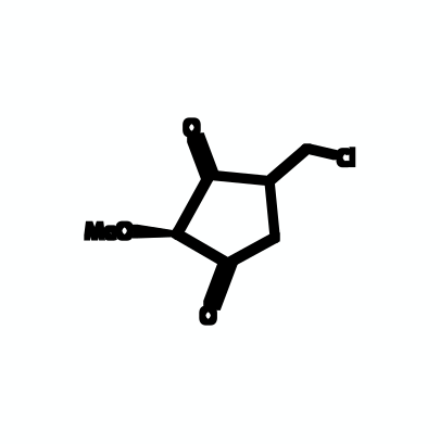 CO[C@@H]1C(=O)CC(CCl)C1=O